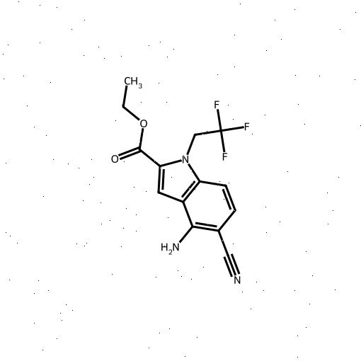 CCOC(=O)c1cc2c(N)c(C#N)ccc2n1CC(F)(F)F